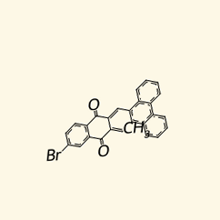 C/C=C1/C(=O)c2cc(Br)ccc2C(=O)/C1=C/c1cc2ccccc2c2ccccc12